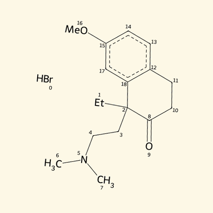 Br.CCC1(CCN(C)C)C(=O)CCc2ccc(OC)cc21